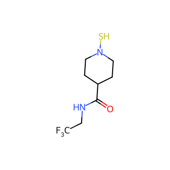 O=C(NCC(F)(F)F)C1CCN(S)CC1